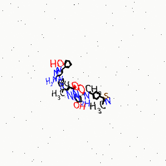 Cc1ncsc1-c1ccc([C@H](C)NC(=O)[C@@H]2C[C@@H](O)CN2C(=O)[C@H](C(N)C(C)N2CCN(c3cc(-c4ccccc4O)nnc3N)CC2)C(C)(C)C)cc1